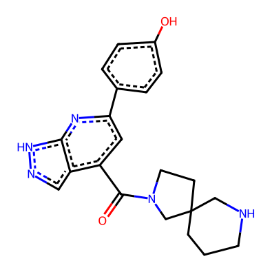 O=C(c1cc(-c2ccc(O)cc2)nc2[nH]ncc12)N1CCC2(CCCNC2)C1